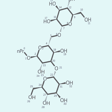 CCCO[C@H]1O[C@H](CO[C@H]2O[C@H](CO)[C@@H](O)[C@H](O)[C@@H]2O)[C@@H](O)C(O[C@H]2O[C@H](CO)[C@@H](O)[C@H](O)[C@@H]2O)[C@@H]1O